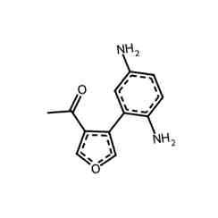 CC(=O)c1cocc1-c1cc(N)ccc1N